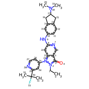 CCn1c(=O)c2cnc(Nc3ccc4c(c3)CC(N(C)C)C4)cc2n1-c1ccnc(C(C)(C)F)c1